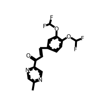 Cc1cnc(C(=O)/C=C/c2ccc(OC(F)F)c(OC(F)F)c2)cn1